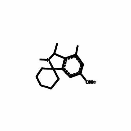 COc1cc(C)c2c(c1)C1(CCCCC1)N(C)C2C